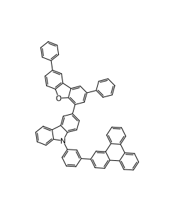 c1ccc(-c2ccc3oc4c(-c5ccc6c(c5)c5ccccc5n6-c5cccc(-c6ccc7c8ccccc8c8ccccc8c7c6)c5)cc(-c5ccccc5)cc4c3c2)cc1